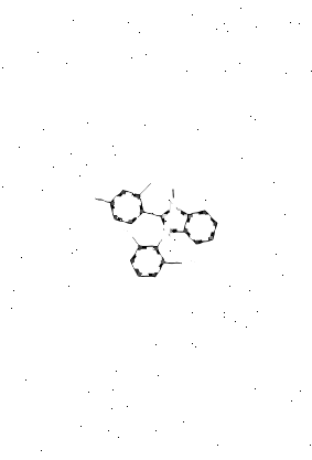 Cc1ccc(-c2n(-c3c(C(C)C)cccc3C(C)C)c3ccccc3[n+]2C)c(C)c1